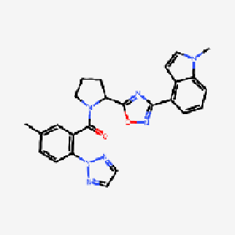 Cc1ccc(-n2nccn2)c(C(=O)N2CCCC2c2nc(-c3cccc4c3ccn4C)no2)c1